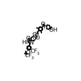 Cc1cc(C(=O)N2CCC(C)(O)CC2)cc(C)c1C=CS(=O)(=O)N1CCC2(CC1)N=C(c1ccc(OC(C)(C)C(F)(F)F)c(C(F)(F)F)c1)NC2=O